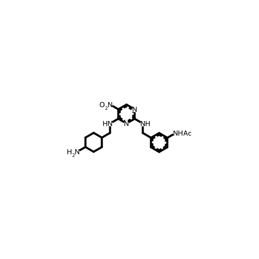 CC(=O)Nc1cccc(CNc2ncc([N+](=O)[O-])c(NCC3CCC(N)CC3)n2)c1